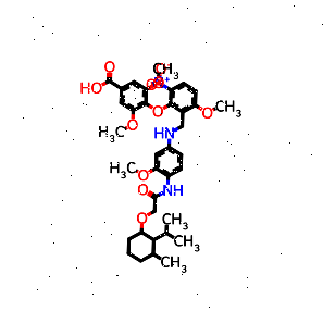 COc1cc(NCc2c(OC)ccc([N+](=O)[O-])c2Oc2c(OC)cc(C(=O)O)cc2OC)ccc1NC(=O)COC1CCCC(C)C1C(C)C